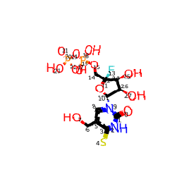 O=c1[nH]c(=S)c(CO)cn1[C@@H]1O[C@](F)(COP(=O)(O)OP(=O)(O)O)[C@@H](O)[C@H]1O